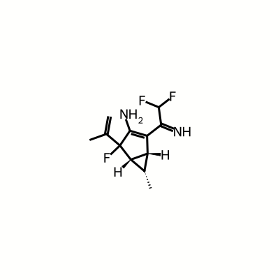 C=C(C)C1(F)C(N)=C(C(=N)C(F)F)[C@@H]2[C@H](C)[C@@H]21